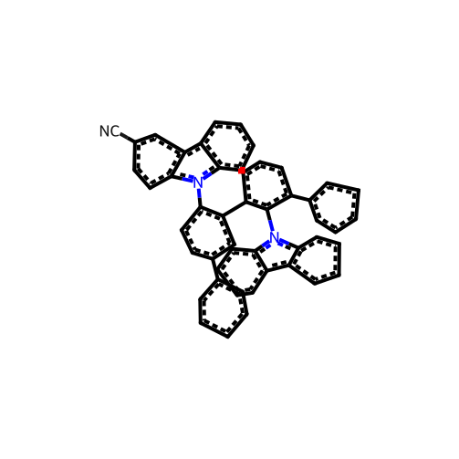 N#Cc1ccc2c(c1)c1ccccc1n2-c1ccc(-c2ccccc2)cc1-c1cccc(-c2ccccc2)c1-n1c2ccccc2c2ccccc21